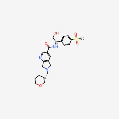 CCS(=O)(=O)c1ccc([C@H](CO)NC(=O)c2cnc3c(c2)CN(C[C@H]2CCCOC2)C3)cc1